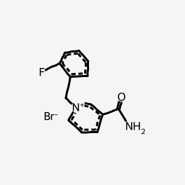 NC(=O)c1ccc[n+](Cc2ccccc2F)c1.[Br-]